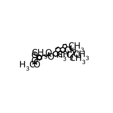 COc1cc(/C=C/C(=O)O[C@H]2CC[C@]3(C)C(C=CC4C3CC[C@@]3(C)C4CC[C@@H]3C(C)/C=C/C(C)C(C)C)C2)ccc1OC(C)=O